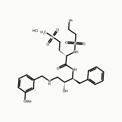 COc1cccc(CNC[C@@H](O)[C@H](Cc2ccccc2)NC(=O)[C@H](CCS(C)(=O)=O)NS(=O)(=O)CCC(C)C)c1.Cl